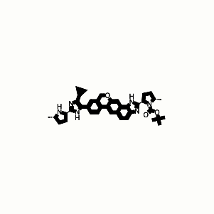 C[C@H]1CC[C@@H](c2nc(C3CC3)c(-c3ccc4c(c3)COc3cc5c(ccc6nc([C@@H]7CC[C@H](C)N7C(=O)OC(C)(C)C)[nH]c65)cc3-4)[nH]2)N1